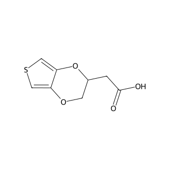 O=C(O)CC1COc2cscc2O1